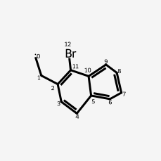 [CH2]Cc1ccc2ccccc2c1Br